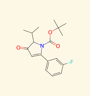 CC(C)C1C(=O)C=C(c2cccc(F)c2)N1C(=O)OC(C)(C)C